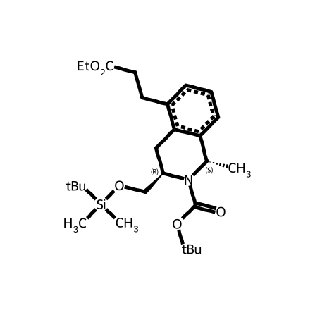 CCOC(=O)CCc1cccc2c1C[C@H](CO[Si](C)(C)C(C)(C)C)N(C(=O)OC(C)(C)C)[C@H]2C